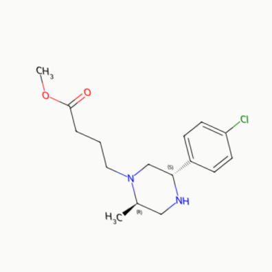 COC(=O)CCCN1C[C@H](c2ccc(Cl)cc2)NC[C@H]1C